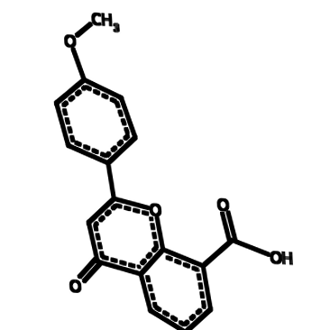 COc1ccc(-c2cc(=O)c3cccc(C(=O)O)c3o2)cc1